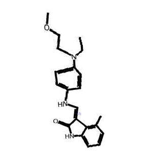 CCN(CCOC)c1ccc(N/C=C2\C(=O)Nc3cccc(C)c32)cc1